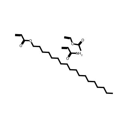 C=CC(=O)OCCCCCCCCCCCCCCCCCC.C=CC(N)=O.C=COC(C)=O